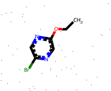 CCOc1cnc(Br)cn1